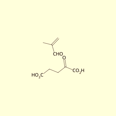 C=C(C)C=O.O=C(O)CCC(=O)C(=O)O